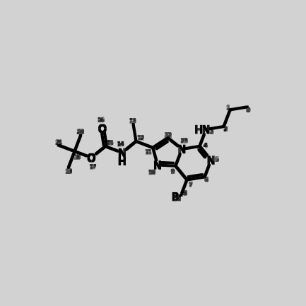 CCCNc1ncc(Br)c2nc(C(C)NC(=O)OC(C)(C)C)cn12